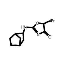 CC(C)C1OC(NC2CC3CCC2C3)=NC1=O